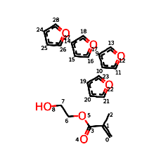 C=C(C)C(=O)OCCO.c1ccoc1.c1ccoc1.c1ccoc1.c1ccoc1